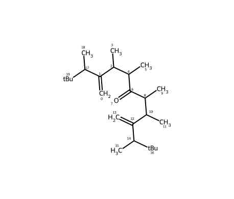 C=C(C(C)C(C)C(=O)C(C)C(C)C(=C)C(C)C(C)(C)C)C(C)C(C)(C)C